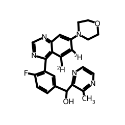 [2H]c1c(N2CCOCC2)cc2ncnc(-c3cc(C(O)c4nccnc4C)ccc3F)c2c1[2H]